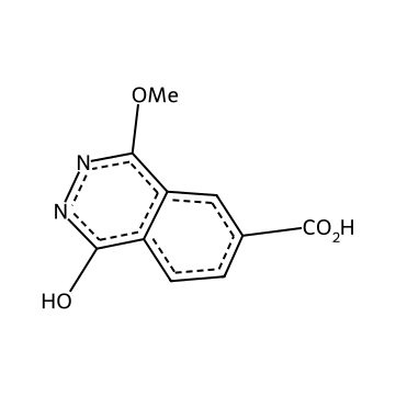 COc1nnc(O)c2ccc(C(=O)O)cc12